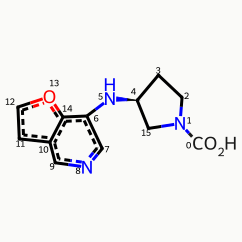 O=C(O)N1CC[C@H](Nc2cncc3ccoc23)C1